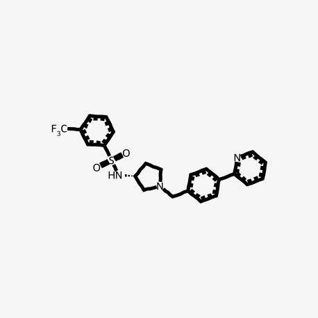 O=S(=O)(N[C@@H]1CCN(Cc2ccc(-c3ccccn3)cc2)C1)c1cccc(C(F)(F)F)c1